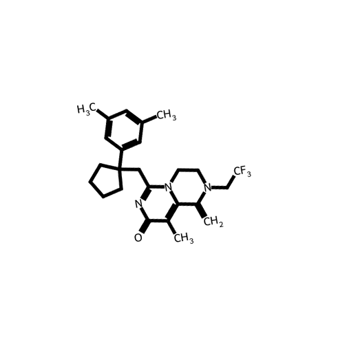 C=C1c2c(C)c(=O)nc(CC3(c4cc(C)cc(C)c4)CCCC3)n2CCN1CC(F)(F)F